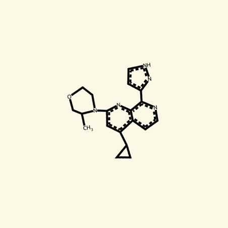 CC1COCCN1c1cc(C2CC2)c2ccnc(-c3cc[nH]n3)c2n1